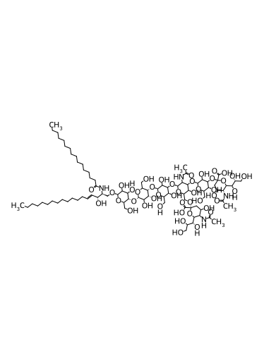 CCCCCCCCCCCCC/C=C/[C@@H](O)[C@H](CO[C@@H]1OC(CO)[C@@H](O[C@@H]2OC(CO)[C@H](O[C@@H]3OC(CO)[C@H](O)[C@H](O[C@@H]4OC(CO[C@]5(C(=O)O)CC(O)[C@@H](NC(C)=O)C([C@H](O)[C@H](O)CO)O5)[C@H](O)[C@H](O[C@@H]5OC(CO)[C@H](O)[C@H](O[C@]6(C(=O)O)CC(O)[C@@H](NC(C)=O)C([C@H](O)[C@H](O)CO)O6)C5O)C4NC(C)=O)C3O)[C@H](O)C2O)[C@H](O)C1O)NC(=O)CCCCCCCCCCCCCCC